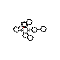 c1ccc(-c2ccc(N(c3cccc4ccccc34)c3c(-n4c5ccccc5c5ccccc54)ccc4ccccc34)cc2)cc1